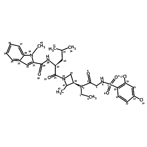 CCN(C(=O)CNS(=O)(=O)c1ccc(Cl)cc1Cl)[C@@H]1CN(C(=O)[C@H](CC(C)C)NC(=O)c2cc3ccccc3n2C)C1C